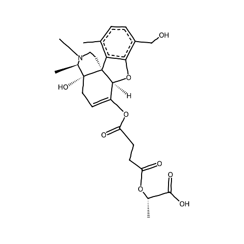 Cc1ccc(CO)c2c1[C@]13CCN(C)[C@H](C)[C@]1(O)CC=C(OC(=O)CCC(=O)O[C@@H](C)C(=O)O)[C@@H]3O2